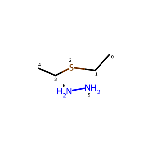 CCSCC.NN